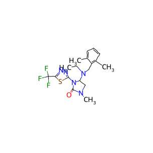 CCN(Cc1c(C)cccc1C)C1CN(C)C(=O)N1c1nnc(C(F)(F)F)s1